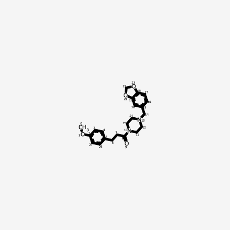 COc1ccc(CCC(=O)N2CCN(Cc3ccc4c(c3)OCO4)CC2)cc1